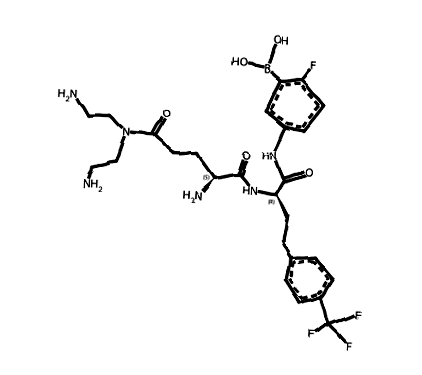 NCCN(CCN)C(=O)CC[C@H](N)C(=O)N[C@H](CCc1ccc(C(F)(F)F)cc1)C(=O)Nc1ccc(F)c(B(O)O)c1